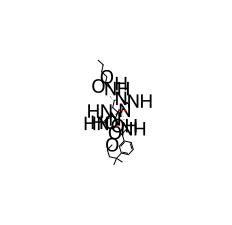 CCCOC(=O)NC[C@@H]1NC(=N)N2C[C@H](NC(=O)c3cccc4c3OCCC4(C)C)[C@](C)(O)C23C1NC(=N)N3O